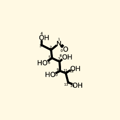 O=NC(CO)C(O)C(O)C(O)C(O)CO